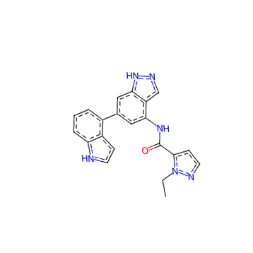 CCn1nccc1C(=O)Nc1cc(-c2cccc3[nH]ccc23)cc2[nH]ncc12